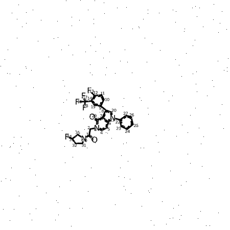 O=C(Cn1ccc2c(c(-c3ccc(F)c(C(F)(F)F)c3)cn2-c2ccccc2)c1=O)N1CCC(F)C1